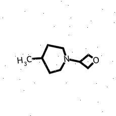 C[C]1CCN(C2COC2)CC1